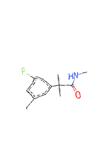 CNC(=O)C(C)(C)c1cc(C)cc(F)c1